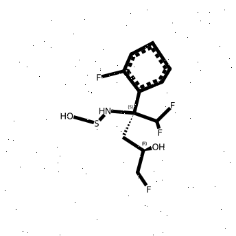 OSN[C@@](C[C@@H](O)CF)(c1ccccc1F)C(F)F